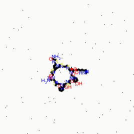 Cc1sc2nc1C(=O)N[C@@H]([C@H](O)c1ccccc1)c1nc(cs1)C(=O)N[C@@H](Cc1ccc(O)cc1)C(=O)N1C[C@H](OC(=O)CCCc3cnc[nH]3)[C@H](C)[C@H]1c1nc(cs1)-c1nc(cs1)-c1nc(-c3nc(C(N)=O)cs3)ccc1-c1nc(cs1)C(=O)N[C@H]2CC(N)=O